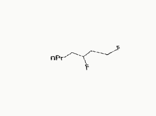 CCCCC(F)CCF